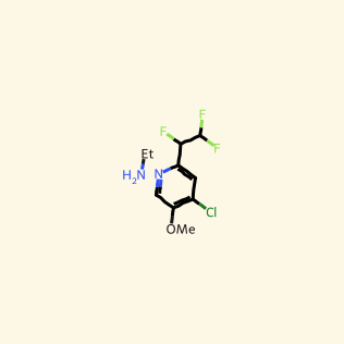 CCN.COc1cnc(C(F)C(F)F)cc1Cl